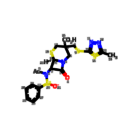 CC(=O)N(C1C(=O)N2CC(CSc3nnc(C)s3)(C(=O)O)CS[C@H]12)[S+]([O-])c1ccccc1